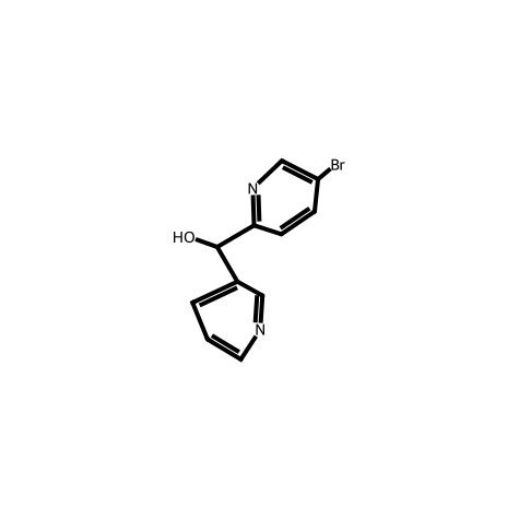 OC(c1cccnc1)c1ccc(Br)cn1